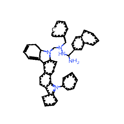 NC(NN(Cc1ccccc1)CN1c2ccc3c(ccc4c5ccccc5n(-c5ccccc5)c34)c2C2=CC=CCC21)c1ccc2ccccc2c1